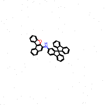 c1ccc2c(c1)-c1ccccc1C21c2ccccc2-c2ccc(Nc3cc4ccccc4c4c3oc3ccccc34)cc21